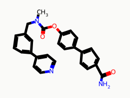 CN(Cc1cccc(-c2ccncc2)c1)C(=O)Oc1ccc(-c2ccc(C(N)=O)cc2)cc1